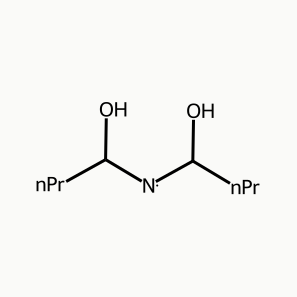 CCCC(O)[N]C(O)CCC